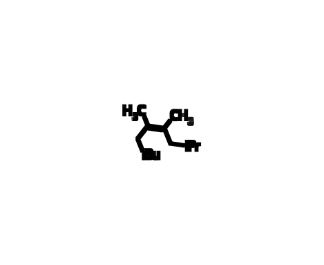 [CH2]CC(C)CC(C)=C(C)CC([CH2])C